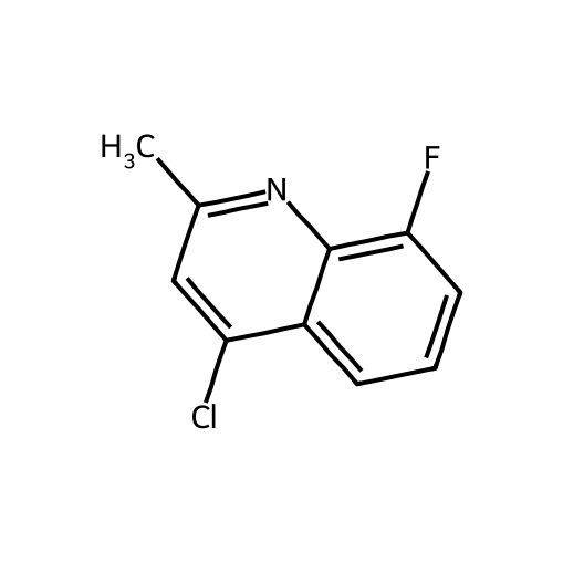 Cc1cc(Cl)c2cccc(F)c2n1